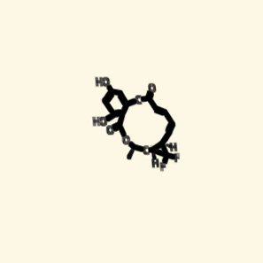 C[C@@H]1C[C@@H]2[C@@H](/C=C\C=C\C(=O)Cc3cc(O)cc(O)c3C(=O)O1)C2(F)F